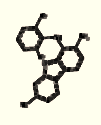 CC(C)c1cccc(C(C)C)c1Nc1c(N)ccc2c1oc1cc(C#N)ccc12